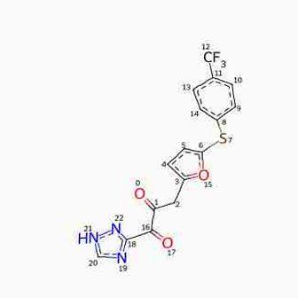 O=C(Cc1ccc(Sc2ccc(C(F)(F)F)cc2)o1)C(=O)c1nc[nH]n1